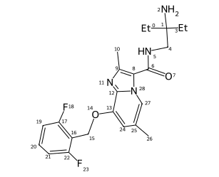 CCC(N)(CC)CNC(=O)c1c(C)nc2c(OCc3c(F)cccc3F)cc(C)cn12